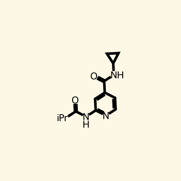 CC(C)C(=O)Nc1cc(C(=O)NC2CC2)ccn1